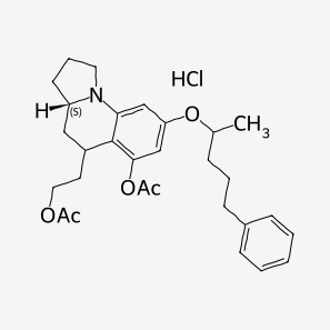 CC(=O)OCCC1C[C@@H]2CCCN2c2cc(OC(C)CCCc3ccccc3)cc(OC(C)=O)c21.Cl